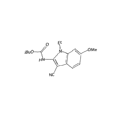 CCn1c(NC(=O)OCC(C)C)c(C#N)c2ccc(OC)cc21